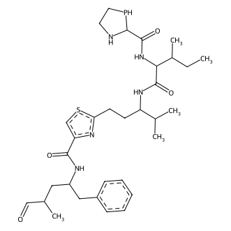 CCC(C)C(NC(=O)C1NCCP1)C(=O)NC(CCc1nc(C(=O)NC(Cc2ccccc2)CC(C)C=O)cs1)C(C)C